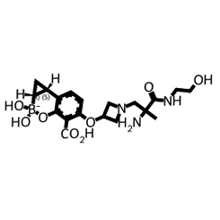 CC(N)(CN1CC(Oc2ccc3c(c2C(=O)O)O[B-](O)(O)[C@@H]2C[C@H]32)C1)C(=O)NCCO